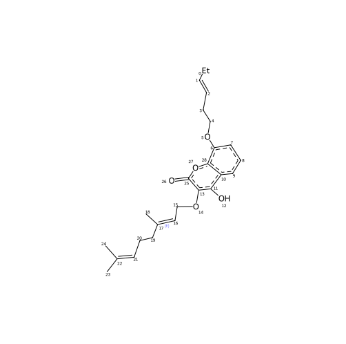 CCC=CCCOc1cccc2c(O)c(OC/C=C(\C)CCC=C(C)C)c(=O)oc12